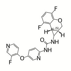 O=C(Nc1ccc(Oc2ccncc2F)cn1)NC1[C@H]2COc3c(F)ccc(F)c3[C@@H]12